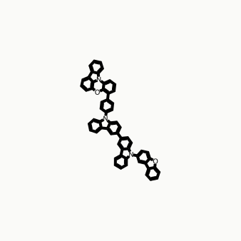 c1cc(-c2ccc(-n3c4ccccc4c4cc(-c5ccc6c(c5)c5ccccc5n6-c5ccc6oc7ccccc7c6c5)ccc43)cc2)c2c(c1)-n1c3ccccc3c3cccc(c31)O2